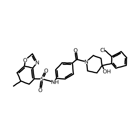 CC1C=c2ocnc2=C(S(=O)(=O)Nc2ccc(C(=O)N3CCC(O)(c4ccccc4Cl)CC3)cc2)C1